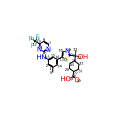 Cc1cc(Nc2nccc(C(F)(F)F)n2)cc(-c2cnc([C@](C)(O)C3CCC(C(=O)O)CC3)s2)c1